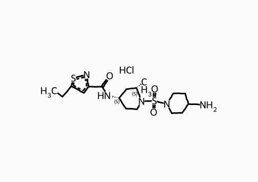 CCc1cc(C(=O)N[C@H]2CCN(S(=O)(=O)N3CCC(N)CC3)[C@@H](C)C2)ns1.Cl